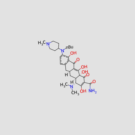 CCCCN(c1ccc2c(c1O)C(=O)C1=C(O)[C@@]3(O)C(=O)C(C(N)=O)=C(O)[C@H](N(C)C)[C@H]3C[C@H]1C2)C1CCN(C)CC1